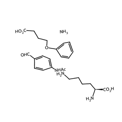 CC(=O)Nc1ccc(C=O)cc1.N.NCCCC[C@H](N)C(=O)O.O=C(O)CCCOc1ccccc1